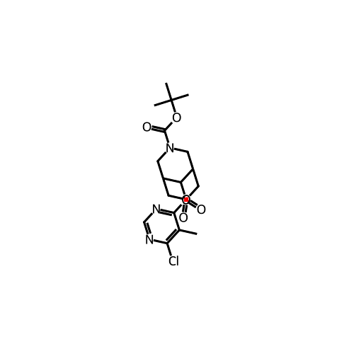 Cc1c(Cl)ncnc1OC1C2CN(C(=O)OC(C)(C)C)CC1CS(=O)(=O)C2